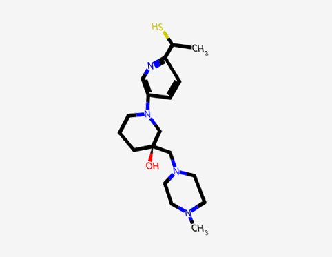 CC(S)c1ccc(N2CCC[C@@](O)(CN3CCN(C)CC3)C2)cn1